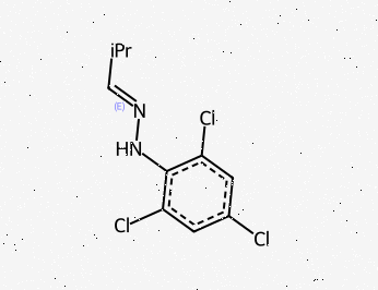 CC(C)/C=N/Nc1c(Cl)cc(Cl)cc1Cl